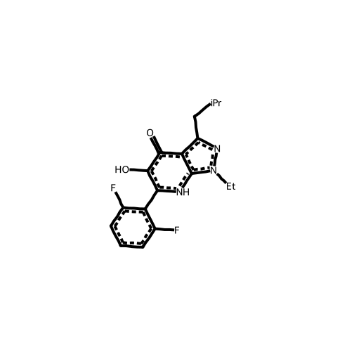 CCn1nc(CC(C)C)c2c(=O)c(O)c(-c3c(F)cccc3F)[nH]c21